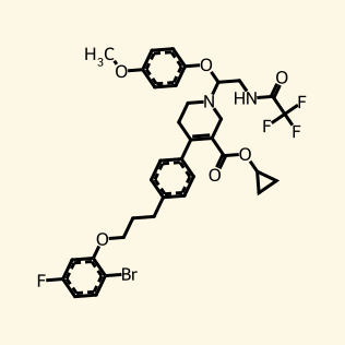 COc1ccc(OC(CNC(=O)C(F)(F)F)N2CCC(c3ccc(CCCOc4cc(F)ccc4Br)cc3)=C(C(=O)OC3CC3)C2)cc1